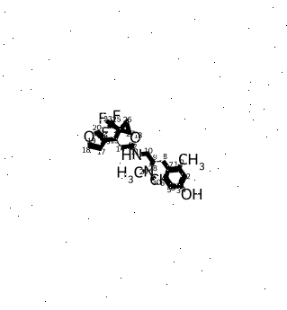 Cc1cc(O)ccc1C[C@@H](CNC(=O)C[C@H](c1ccoc1)C1(C(F)(F)F)CC1)N(C)C